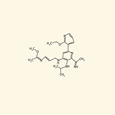 CCOc1ncccc1-c1cc(NC/C=C/N=C(/C)OC)c(NC(C)C)c(C(C)=N)n1